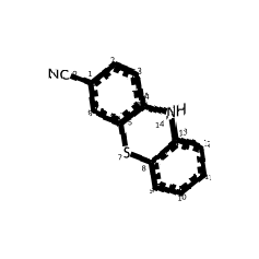 N#Cc1ccc2c(c1)Sc1ccccc1N2